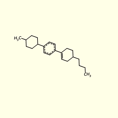 CCCCC1CC=C(c2ccc(C3CCC(C)CC3)cc2)CC1